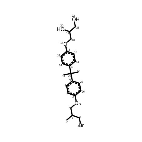 CC(CBr)COc1ccc(C(C)(C)c2ccc(OCC(O)CO)cc2)cc1